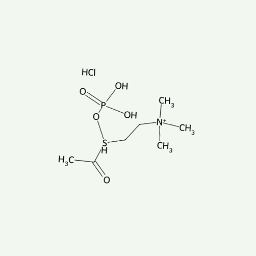 CC(=O)[SH](CC[N+](C)(C)C)OP(=O)(O)O.Cl